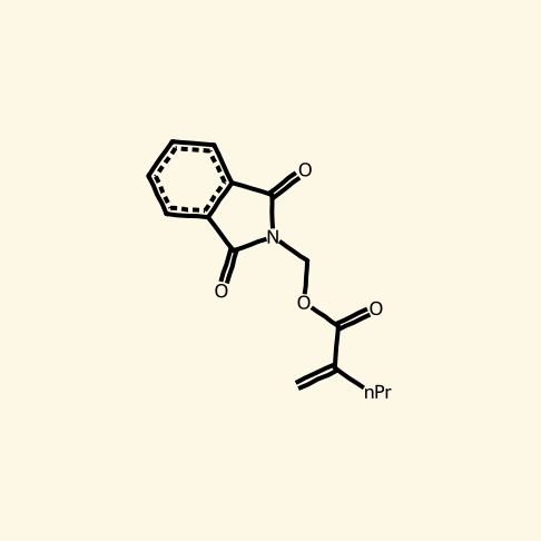 C=C(CCC)C(=O)OCN1C(=O)c2ccccc2C1=O